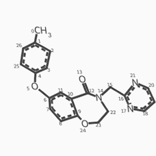 Cc1ccc(Oc2ccc3c(c2)C(=O)N(Cc2ncccn2)CCO3)cc1